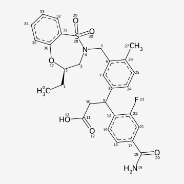 CC[C@@H]1CN(Cc2cc(C(CC(=O)O)c3ccc(C(N)=O)cc3F)ccc2C)S(=O)(=O)c2ccccc2O1